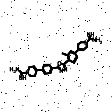 Cc1cc(C2=CCN(C(=N)N)CC2)ccc1-c1nnc(-c2ccc(C3=CCN(C(=N)N)CC3)cc2)o1